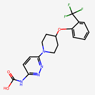 O=C(O)Nc1ccc(N2CCC(Oc3ccccc3C(F)(F)F)CC2)nn1